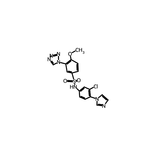 COc1ccc(S(=O)(=O)Nc2ccc(-n3ccnc3)c(Cl)c2)cc1-n1cnnn1